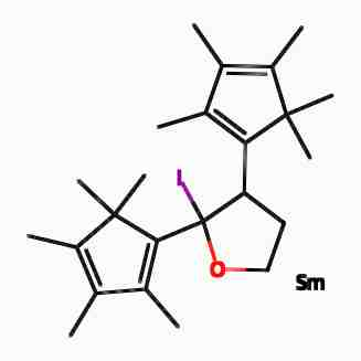 CC1=C(C)C(C)(C)C(C2CCOC2(I)C2=C(C)C(C)=C(C)C2(C)C)=C1C.[Sm]